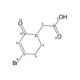 O=C(O)CC1CCC(Br)=CC1=O